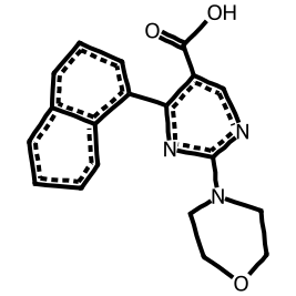 O=C(O)c1cnc(N2CCOCC2)nc1-c1cccc2ccccc12